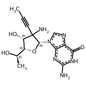 CC#CC1(N)[C@@H](O)[C@@H]([C@@H](C)O)O[C@H]1n1cnc2c(=O)[nH]c(N)nc21